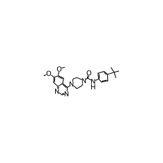 COc1cc2ncnc(N3CCN(C(=O)Nc4ccc(C(C)(C)C)cc4)CC3)c2cc1OC